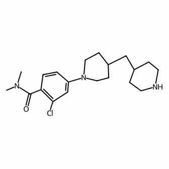 CN(C)C(=O)c1ccc(N2CCC(CC3CCNCC3)CC2)cc1Cl